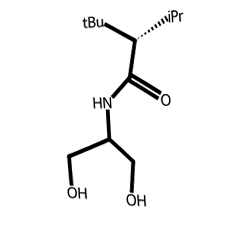 CC(C)[C@H](C(=O)NC(CO)CO)C(C)(C)C